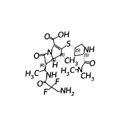 CC(NC(=O)C(F)(F)CN)[C@H]1C(=O)N2C(C(=O)O)=C(S[C@@H]3CN[C@H](C(=O)N(C)C)C3)[C@H](C)[C@H]12